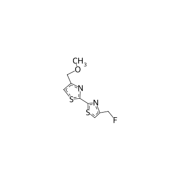 COCc1csc(-c2nc(CF)cs2)n1